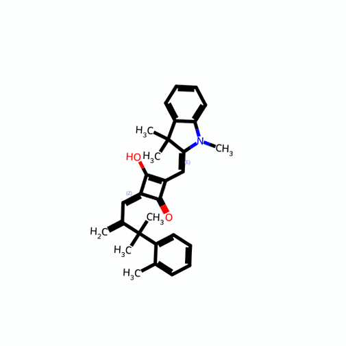 C=C(/C=C1\C(=O)C(/C=C2/N(C)c3ccccc3C2(C)C)=C1O)C(C)(C)c1ccccc1C